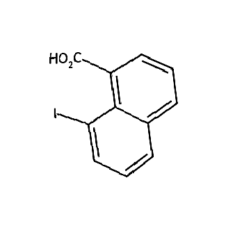 O=C(O)c1cccc2cccc(I)c12